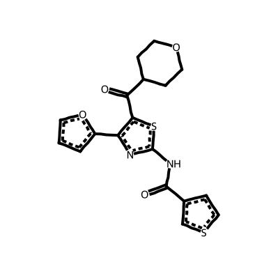 O=C(Nc1nc(-c2ccco2)c(C(=O)C2CCOCC2)s1)c1ccsc1